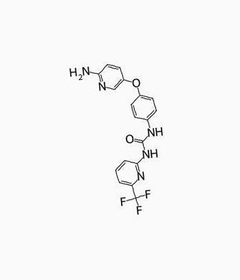 Nc1ccc(Oc2ccc(NC(=O)Nc3cccc(C(F)(F)F)n3)cc2)cn1